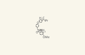 COCc1ccc(C(=O)NCc2ccc(Oc3ccc(C(C)C(C)C)cc3)cc2)c(N)n1